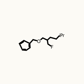 CC(C)CCC(CF)COCc1ccccc1